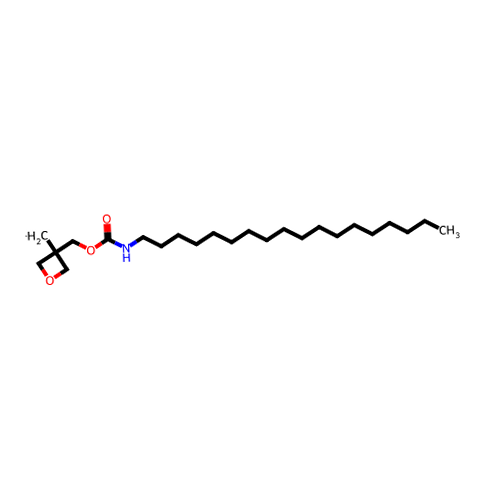 [CH2]C1(COC(=O)NCCCCCCCCCCCCCCCCCC)COC1